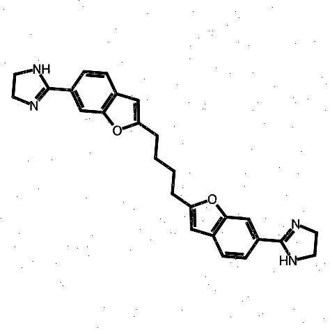 c1cc2cc(CCCCc3cc4ccc(C5=NCCN5)cc4o3)oc2cc1C1=NCCN1